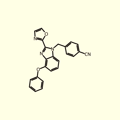 N#Cc1ccc(Cn2c(-c3ncco3)nc3c(Oc4ccccc4)cccc32)cc1